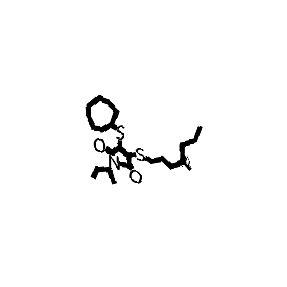 CCC[C@@H](C)CCCSC1=C(SC2CCCCCCC2)C(=O)N(C(C)CC)C1=O